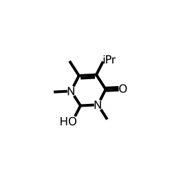 CC1=C(C(C)C)C(=O)N(C)C(O)N1C